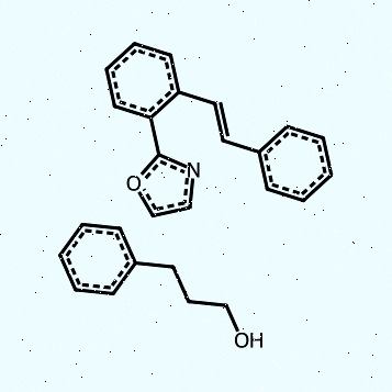 C(=Cc1ccccc1-c1ncco1)c1ccccc1.OCCCc1ccccc1